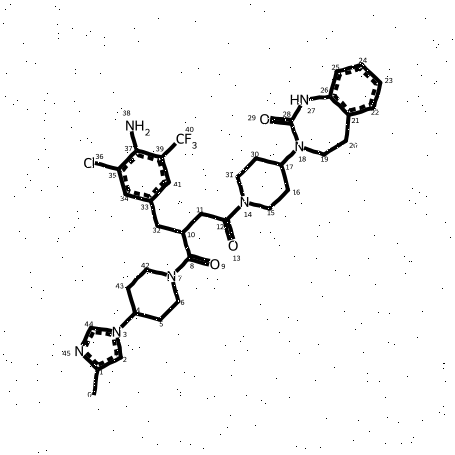 Cc1cn(C2CCN(C(=O)C(CC(=O)N3CCC(N4CCc5ccccc5NC4=O)CC3)Cc3cc(Cl)c(N)c(C(F)(F)F)c3)CC2)cn1